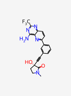 CN1CC[C@@](O)(C#Cc2cccc(-c3ccc4nc(C(F)(F)F)nc(N)c4n3)c2)C1=O